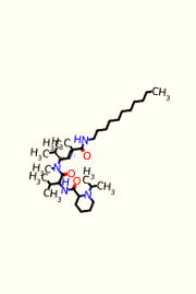 CCCCCCCCCCCNC(=O)/C(C)=C/[C@H](C(C)C)N(C)C(=O)[C@@H](NC(=O)C1CCCCN1C(C)C)C(C)C